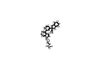 CS(C)(C)CCOCn1ccc2c(-c3cc(C4(C#N)Cc5ccccc5C4)ccn3)ncnc21